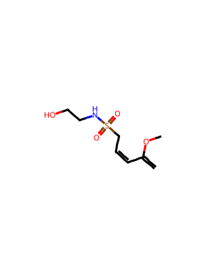 C=C(/C=C\CS(=O)(=O)NCCO)OC